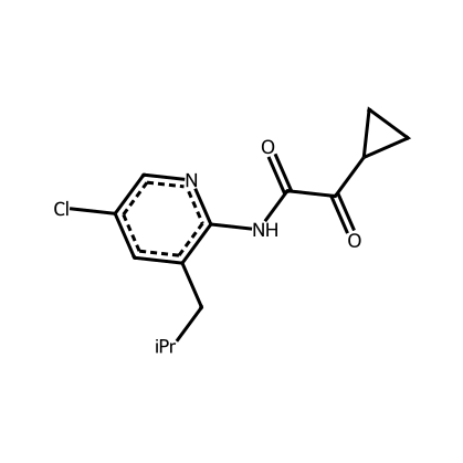 CC(C)Cc1cc(Cl)cnc1NC(=O)C(=O)C1CC1